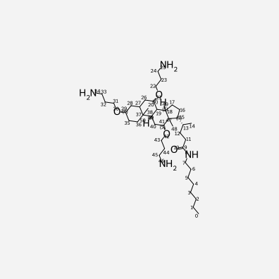 CCCCCCCCNC(=O)CCC(C)[C@H]1CC[C@H]2C3[C@H](OCCCN)CC4C[C@H](OCCCN)CCC4(C)[C@H]3C[C@H](OCCCN)C12C